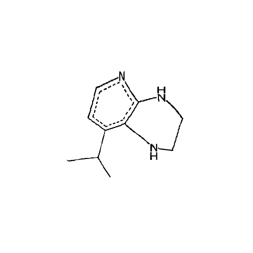 CC(C)c1ccnc2c1NCCN2